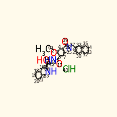 CCOc1cc2c(cc1C(=O)NC[C@@H](O)[C@@H]1Cc3ccccc3CN1)CN(Cc1ccc3ccccc3c1)C2=O.Cl